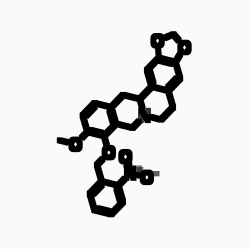 COc1ccc2c(c1OCc1ccccc1[N+](=O)[O-])CN1CCc3cc4c(cc3C1C2)OCO4